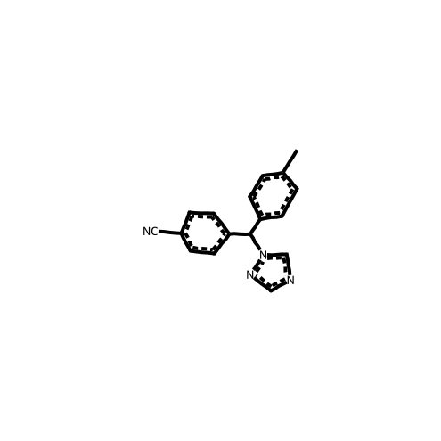 Cc1ccc(C(c2ccc(C#N)cc2)n2cncn2)cc1